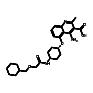 Cc1nc2cccc(O[C@H]3CC[C@H](NC(=O)COCC4CCCCC4)CC3)c2c(N)c1C(=O)O